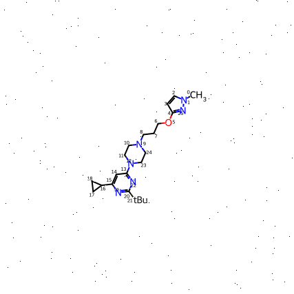 Cn1ccc(OCCCN2CCN(c3cc(C4CC4)nc(C(C)(C)C)n3)CC2)n1